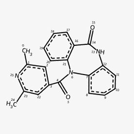 Cc1cc(C(=O)N2c3ccccc3NC(=O)c3ccccc32)cc(C)n1